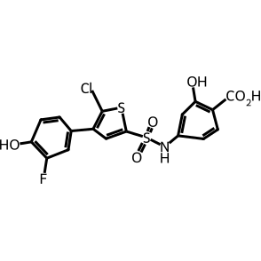 O=C(O)c1ccc(NS(=O)(=O)c2cc(-c3ccc(O)c(F)c3)c(Cl)s2)cc1O